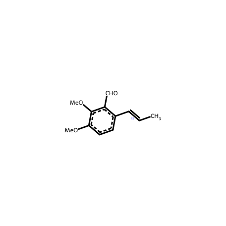 C/C=C/c1ccc(OC)c(OC)c1C=O